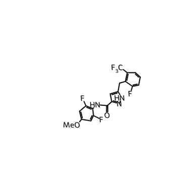 COc1cc(F)c(NC(=O)c2cc(Cc3c(F)cccc3C(F)(F)F)[nH]n2)c(F)c1